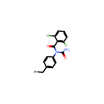 CC(C)Cc1ccc(N(C(N)=O)C(=O)c2c(Cl)cccc2Cl)cc1